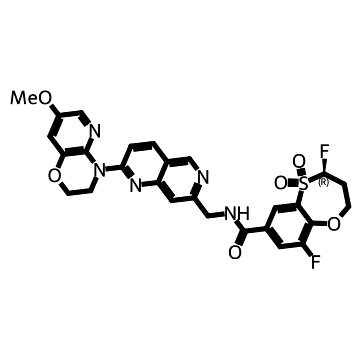 COc1cnc2c(c1)OCCN2c1ccc2cnc(CNC(=O)c3cc(F)c4c(c3)S(=O)(=O)[C@@H](F)CCO4)cc2n1